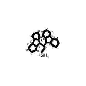 [SiH3]C=CC(C1c2ccccc2-c2ccccc21)C1c2ccccc2-c2ccccc21